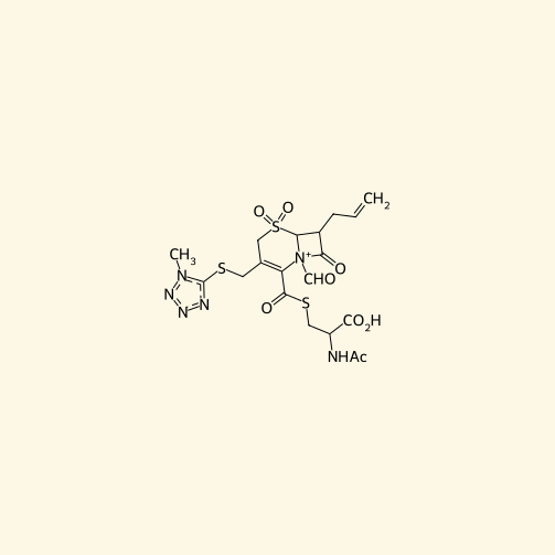 C=CCC1C(=O)[N+]2(C=O)C(C(=O)SCC(NC(C)=O)C(=O)O)=C(CSc3nnnn3C)CS(=O)(=O)C12